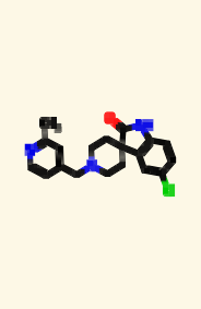 Cc1cc(CN2CCC3(CC2)C(=O)Nc2ccc(Cl)cc23)ccn1